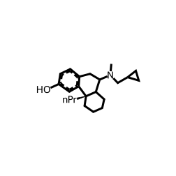 CCC[C@]12CCCCC1C(N(C)CC1CC1)Cc1ccc(O)cc12